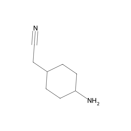 N#CCC1CCC(N)CC1